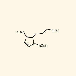 CCCCCCCCCCCCCC1N(CCCCCCCC)C=CN1CCCCCCCC